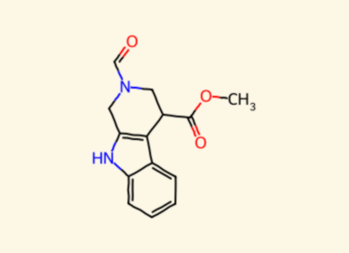 COC(=O)C1CN(C=O)Cc2[nH]c3ccccc3c21